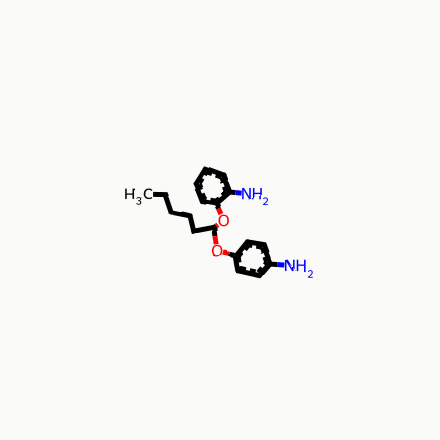 CCCCCC(Oc1ccc(N)cc1)Oc1ccccc1N